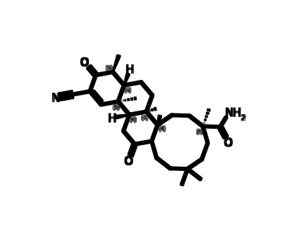 C[C@@H]1C(=O)C(C#N)=C[C@]2(C)[C@H]3CC(=O)C4CCC(C)(C)CC[C@](C)(C(N)=O)CC[C@@]4(C)[C@]3(C)CC[C@@H]12